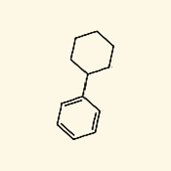 [c]1ccccc1C1[CH]CCCC1